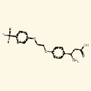 CC(CC(=O)O)c1ccc(OCCOc2ccc(C(F)(F)F)nc2)cc1